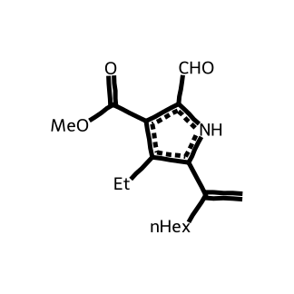 C=C(CCCCCC)c1[nH]c(C=O)c(C(=O)OC)c1CC